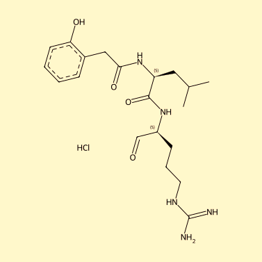 CC(C)C[C@H](NC(=O)Cc1ccccc1O)C(=O)N[C@H](C=O)CCCNC(=N)N.Cl